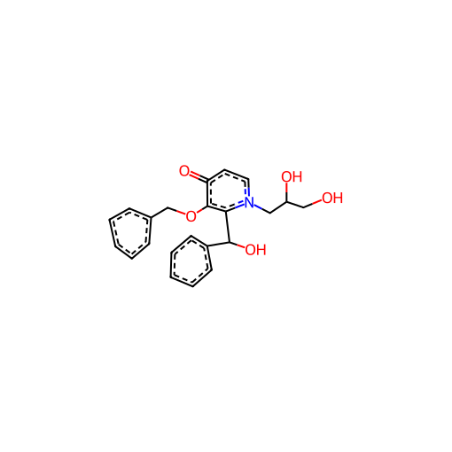 O=c1ccn(CC(O)CO)c(C(O)c2ccccc2)c1OCc1ccccc1